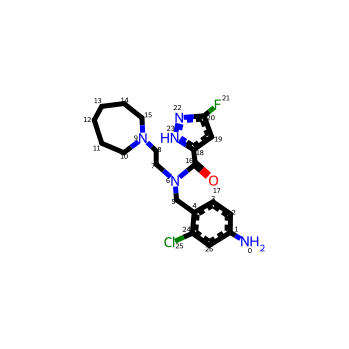 Nc1ccc(CN(CCN2CCCCCC2)C(=O)c2cc(F)n[nH]2)c(Cl)c1